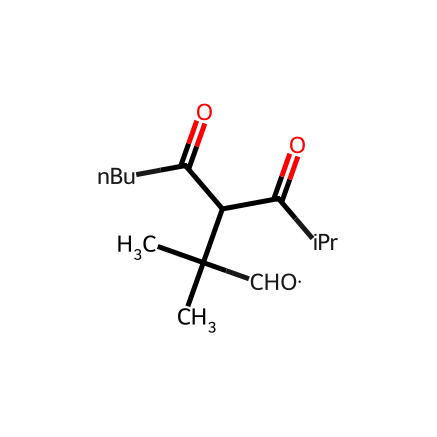 CCCCC(=O)C(C(=O)C(C)C)C(C)(C)[C]=O